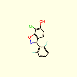 Oc1ccc2c(-c3c(F)cccc3F)noc2c1Cl